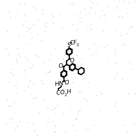 O=C(O)CCNC(=O)c1ccc(C(=O)C(CC(=O)c2ccc(SC(F)(F)F)cc2)c2ccc(C3CCCCC3)cc2)cc1